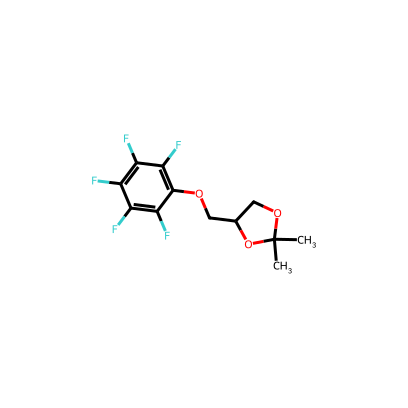 CC1(C)OCC(COc2c(F)c(F)c(F)c(F)c2F)O1